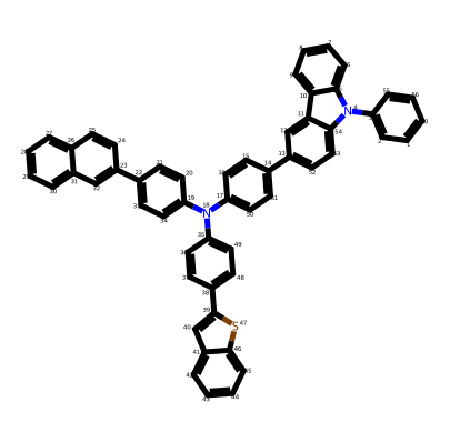 c1ccc(-n2c3ccccc3c3cc(-c4ccc(N(c5ccc(-c6ccc7ccccc7c6)cc5)c5ccc(-c6cc7ccccc7s6)cc5)cc4)ccc32)cc1